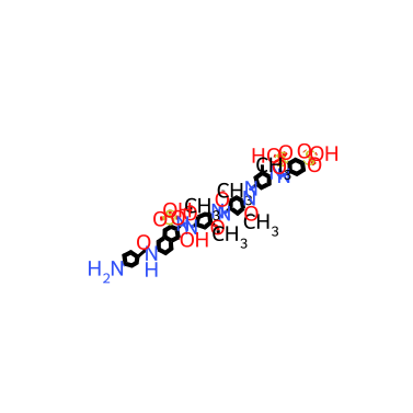 COc1cc(N=Nc2cc(OC)c(N=Nc3c(S(=O)(=O)O)cc4cc(NC(=O)c5ccc(N)cc5)ccc4c3O)cc2OC)c(OC)cc1N=Nc1ccc(N=Nc2ccc(S(=O)(=O)O)cc2S(=O)(=O)O)c(C)c1